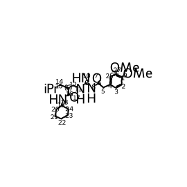 COc1ccc(CC(=O)NC(=N)NC[C@H](CC(C)C)C(=O)NC2CCCCC2)cc1OC